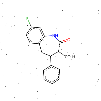 O=C(O)C1C(=O)Nc2cc(F)ccc2CC1c1ccccc1